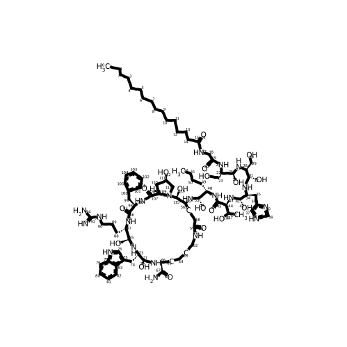 CCCCCCCCCCCCCCCC(=O)NCC(=O)N[C@@H](CO)[C@H](O)N[C@@H](CO)[C@H](O)N[C@@H](Cc1c[nH]cn1)[C@H](O)N[C@H](C(=O)N[C@@H](CCCC)[C@H](O)N[C@H]1CCC(=O)NCCCC[C@@H](C(N)=O)N[C@@H](O)[C@H](Cc2c[nH]c3ccccc23)N[C@@H](O)[C@H](CCCNC(=N)N)NC(=O)[C@@H](Cc2ccccc2)NC(=O)[C@@H]2C[C@@H](O)CN2[C@H]1O)C(C)O